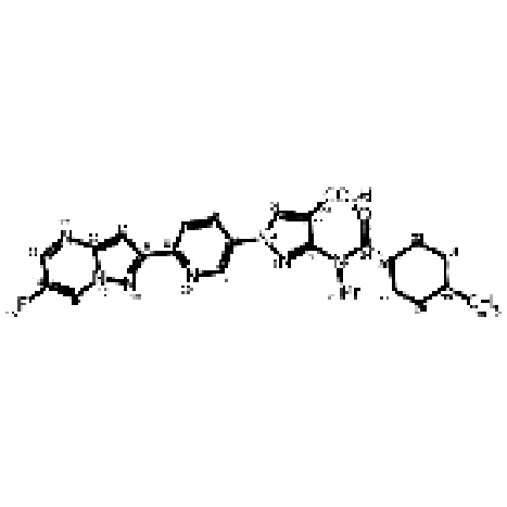 CC(C)N(c1nn(-c2ccc(-c3cc4ncc(F)cn4n3)nc2)cc1C(=O)O)C(=O)[C@H]1CC[C@H](C)CC1